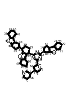 c1cncc(-c2cccc(-c3nc(-c4ccc5c(c4)oc4ccccc45)nc(-c4ccc(-c5ccc6oc7ccccc7c6c5)c5oc6ccccc6c45)n3)c2)c1